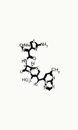 CON=C(C(=O)N[C@@H]1C(=O)N2C(C(=O)O)=C(C(S)c3cc(C)nc4ncnn34)CS[C@H]12)c1csc(N)n1